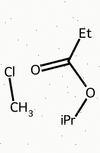 CCC(=O)OC(C)C.CCl